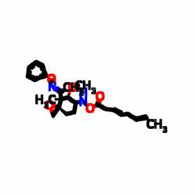 C/C=C/C/C=C/CC(=O)ONC1CC[C@]2(CO2)[C@@](C)(/C(C)=N/Oc2ccccc2)[C@@H]1OC